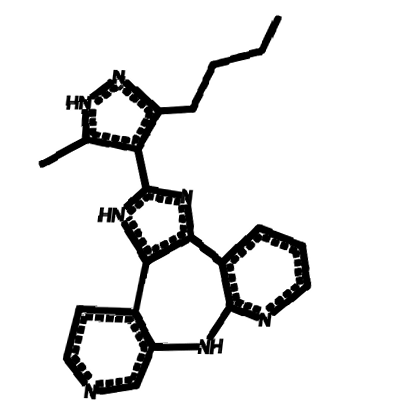 CCCCc1n[nH]c(C)c1-c1nc2c([nH]1)-c1ccncc1Nc1ncccc1-2